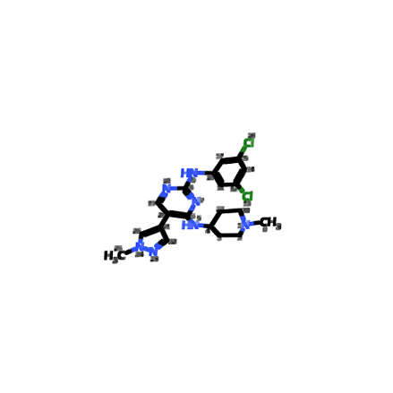 CN1CCC(Nc2nc(Nc3cc(Cl)cc(Cl)c3)ncc2-c2cnn(C)c2)CC1